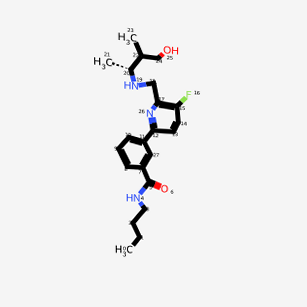 CCCCNC(=O)c1cccc(-c2ccc(F)c(CN[C@H](C)C(C)CO)n2)c1